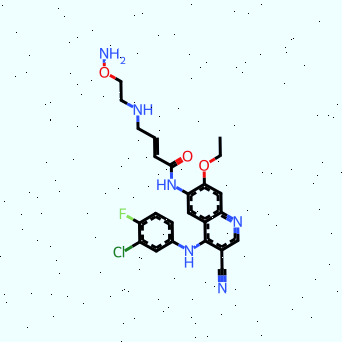 CCOc1cc2ncc(C#N)c(Nc3ccc(F)c(Cl)c3)c2cc1NC(=O)/C=C/CNCCON